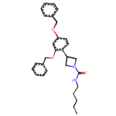 CCCCCNC(=O)N1CC(c2ccc(OCc3ccccc3)cc2OCc2ccccc2)C1